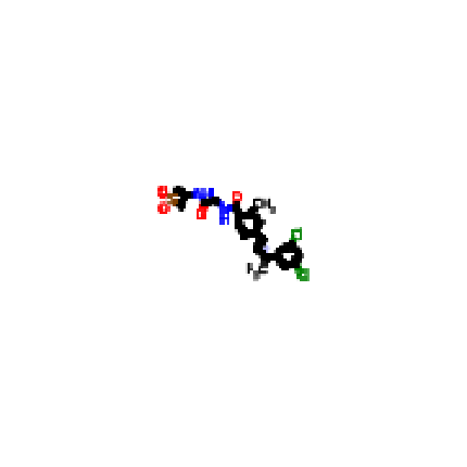 Cc1cc(/C=C/C(c2cc(Cl)cc(Cl)c2)C(F)(F)F)ccc1C(=O)NCC(=O)NC1CS(=O)(=O)C1